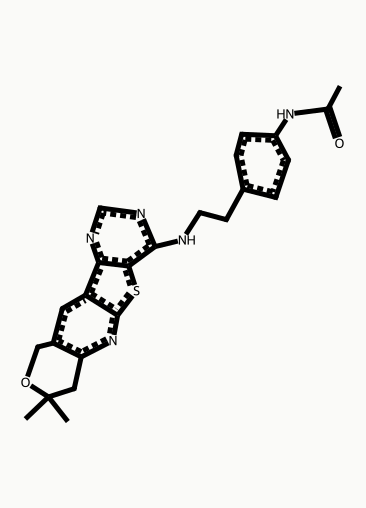 CC(=O)Nc1ccc(CCNc2ncnc3c2sc2nc4c(cc23)COC(C)(C)C4)cc1